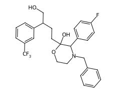 OCC(CCC1(O)OCCN(Cc2ccccc2)C1c1ccc(F)cc1)c1cccc(C(F)(F)F)c1